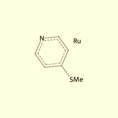 CSc1ccncc1.[Ru]